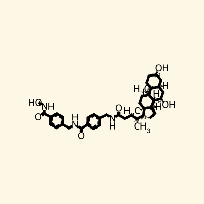 C[C@H](CCC(=O)NCc1ccc(C(=O)NCc2ccc(C(=O)NO)cc2)cc1)[C@H]1CC[C@H]2[C@@H]3[C@@H](O)C[C@@H]4C[C@H](O)CC[C@]4(C)[C@H]3CC[C@]12C